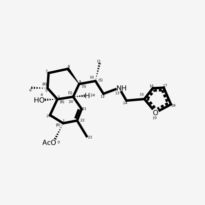 CC(=O)O[C@@H]1[C][C@@]2(O)[C@H](C)CC[C@@H]([C@H](C)CNCc3ccco3)[C@H]2C=C1C